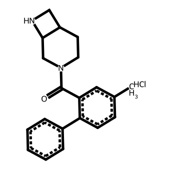 Cc1ccc(-c2ccccc2)c(C(=O)N2CCC3CNC3C2)c1.Cl